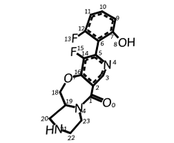 O=C1c2cnc(-c3c(O)cccc3F)c(F)c2OCC2CNCCN12